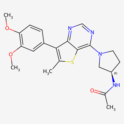 COc1ccc(-c2c(C)sc3c(N4CC[C@@H](NC(C)=O)C4)ncnc23)cc1OC